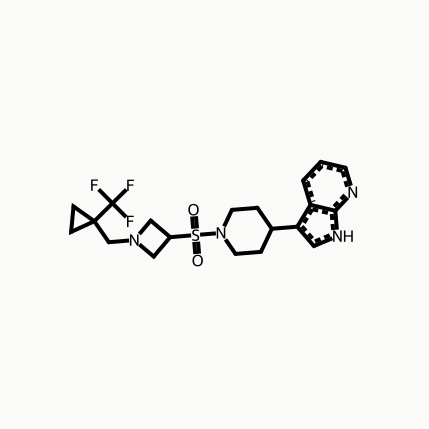 O=S(=O)(C1CN(CC2(C(F)(F)F)CC2)C1)N1CCC(c2c[nH]c3ncccc23)CC1